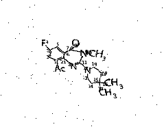 CC(=O)c1cc(F)cc2c(=O)n(C)c(N3CCC(C)(C)CC3)nc12